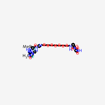 COc1cc(C(=O)NC2CCN(CCOCCOCCOCCOCCOCCOCCOCCNc3cccc4c3C(=O)N(C3CCC(=O)NC3=O)C4=O)CC2)c(F)cc1Nc1ncc2c(n1)N(C1CCCC1)CC(F)(F)C(=O)N2C